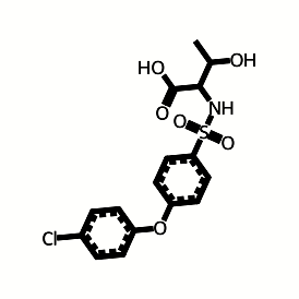 CC(O)C(NS(=O)(=O)c1ccc(Oc2ccc(Cl)cc2)cc1)C(=O)O